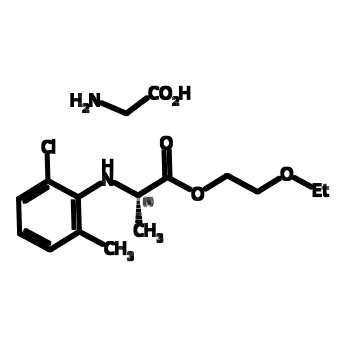 CCOCCOC(=O)[C@H](C)Nc1c(C)cccc1Cl.NCC(=O)O